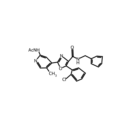 CC(=O)Nc1cc(-c2nc(C(=O)NCc3ccccc3)c(-c3ccccc3Cl)o2)c(C)cn1